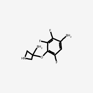 Bc1cc(F)c(OC2(B)CNC2)c(F)c1F